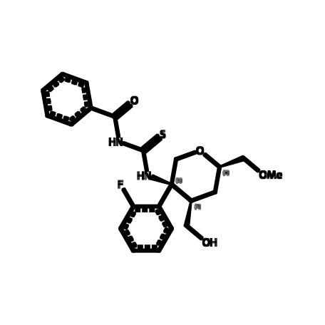 COC[C@H]1C[C@@H](CO)[C@](NC(=S)NC(=O)c2ccccc2)(c2ccccc2F)CO1